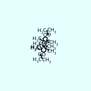 C=C(C)C(=O)OC1CC(CC)(CC)N(SSN2C(CC)(CC)CC(OC(=O)C(=C)C)CC2(CC)CC)C(CC)(CC)C1